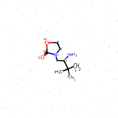 CC(C)(C)[C@H](N)CN1CCOC1=O